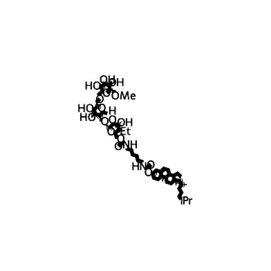 CC[C@@H]1C(COC(=O)NCCCCCCNC(=O)O[C@H]2CC[C@@]3(C)C(=CCC4C3CC[C@@]3(C)C4CC[C@@H]3[C@H](C)CCCC(C)C)C2)O[C@H](COC[C@@H]2C(C)O[C@H](COCC3O[C@H](COC)C(O)[C@H](O)[C@@H]3O)C(O)[C@@H]2O)C(O)[C@@H]1O